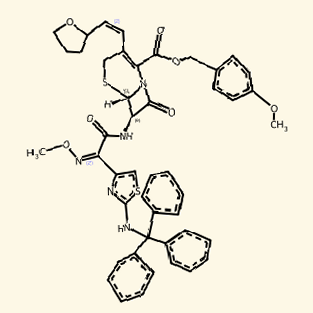 CO/N=C(\C(=O)N[C@@H]1C(=O)N2C(C(=O)OCc3ccc(OC)cc3)=C(/C=C\C3CCCO3)CS[C@@H]12)c1csc(NC(c2ccccc2)(c2ccccc2)c2ccccc2)n1